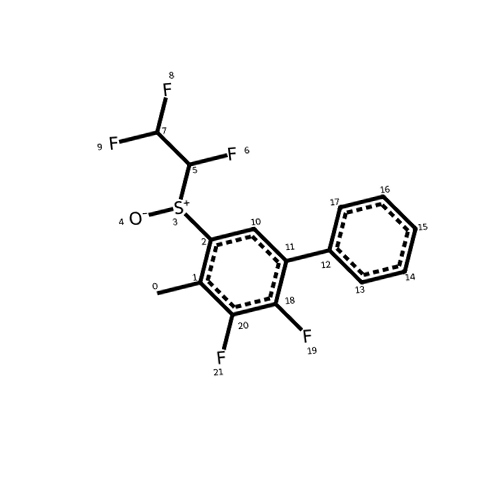 Cc1c([S+]([O-])C(F)C(F)F)cc(-c2ccccc2)c(F)c1F